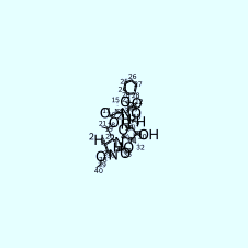 [2H]c1cn([C@@H]2O[C@H](C([2H])([2H])O[P@@](=O)(N[C@@H](C)C(=O)OC(C)C)Oc3ccccc3)[C@@H](O)[C@@]2(C)O)c(=O)nc1OCC